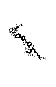 C=CC(=O)OC(CC)OC1=CC=C(C2=CC=C(OC(=O)c3ccc(OC(CCCCCCC)C(O)CC(=C)C=O)cc3)CC2)CC1